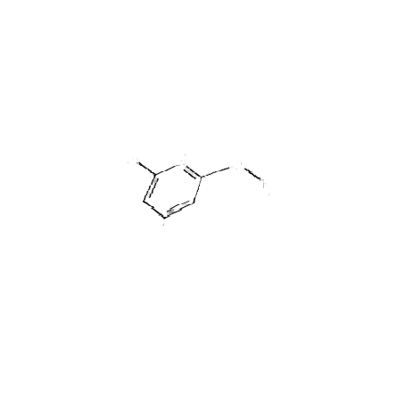 CCOc1[c]ccc(Cl)n1